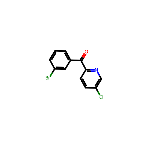 O=C(c1cccc(Br)c1)c1ccc(Cl)cn1